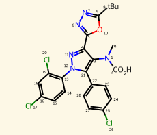 CN(C(=O)O)c1c(-c2nnc(C(C)(C)C)o2)nn(-c2ccc(Cl)cc2Cl)c1-c1ccc(Cl)cc1